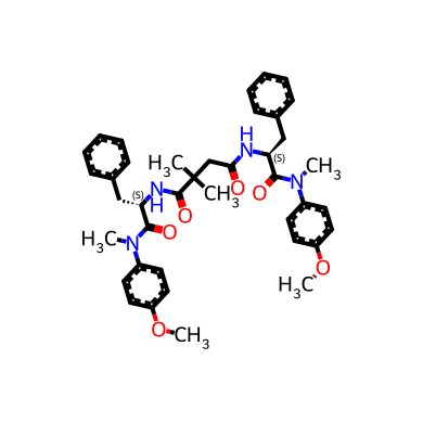 COc1ccc(N(C)C(=O)[C@H](Cc2ccccc2)NC(=O)CC(C)(C)C(=O)N[C@@H](Cc2ccccc2)C(=O)N(C)c2ccc(OC)cc2)cc1